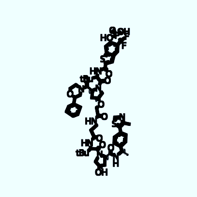 Cc1ncsc1-c1ccc([C@H](C)NC(=O)[C@@H]2C[C@@H](O)CN2C(=O)C(NC(=O)CCNC(=O)CO[C@H]2C[C@@H](C(=O)N3CCOC(c4ccccc4)C3)N(C(=O)C(NC(=O)c3cc4cc(C(F)(F)P(=O)(O)O)ccc4s3)C(C)(C)C)C2)C(C)(C)C)cc1